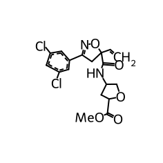 C=CC1(C(=O)NC2COC(C(=O)OC)C2)CC(c2cc(Cl)cc(Cl)c2)=NO1